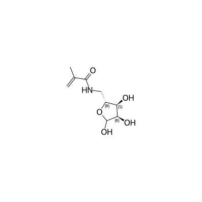 C=C(C)C(=O)NC[C@H]1OC(O)[C@H](O)[C@@H]1O